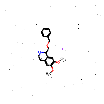 COc1cc2c(cc1OC)C(COCc1ccccc1)NCC2.I